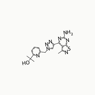 Cc1nsc2nc(N)nc(-c3cn(Cc4cccc(C(C)(C)O)n4)nn3)c12